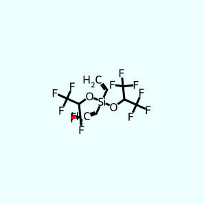 C=C[Si](C=C)(OC(C(F)(F)F)C(F)(F)F)OC(C(F)(F)F)C(F)(F)F